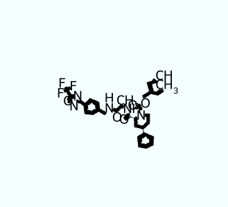 C#C/C=C(\C=C/C)COC(=O)N1CC[C@H](c2ccccc2)C[C@@H]1C(=O)N[C@@H](C)C(=O)NCc1ccc(-c2noc(C(F)(F)F)n2)cc1